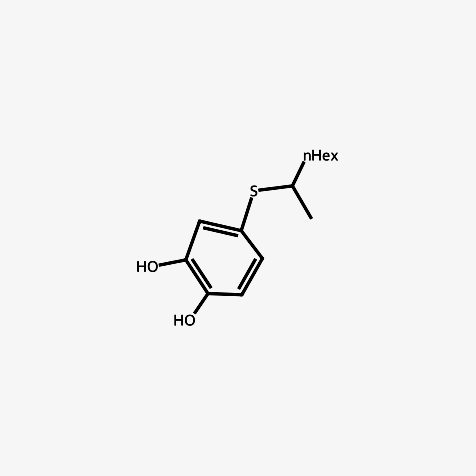 CCCCCCC(C)Sc1ccc(O)c(O)c1